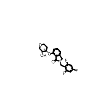 O=C1c2c(cccc2O[C@@H]2CCOC[C@H]2O)CN1Cc1c(F)cc(F)cc1F